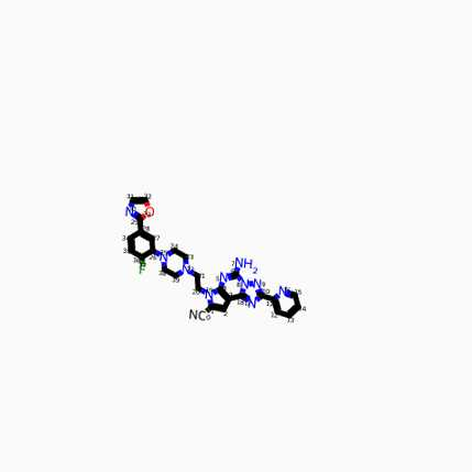 N#Cc1cc2c(nc(N)n3nc(-c4ccccn4)nc23)n1CCN1CCN(C2C=C(c3ncco3)C=CC2F)CC1